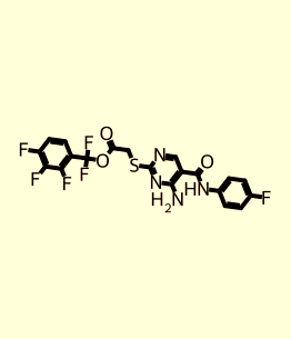 Nc1nc(SCC(=O)OC(F)(F)c2ccc(F)c(F)c2F)ncc1C(=O)Nc1ccc(F)cc1